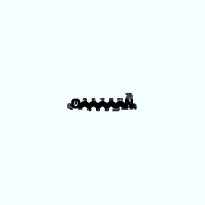 [CH2]OCCCCCCCCCCCN(C)C